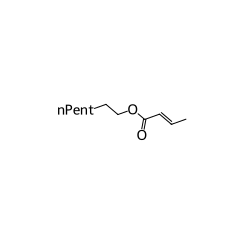 C/C=C/C(=O)OCCCCCCC